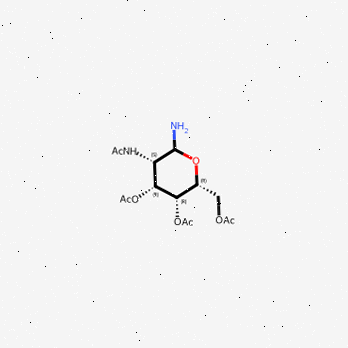 CC(=O)N[C@@H]1C(N)O[C@H](COC(C)=O)[C@H](OC(C)=O)[C@@H]1OC(C)=O